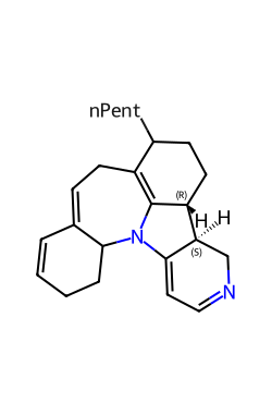 CCCCCC1CC[C@H]2C3=C1CC=C1C=CCCC1N3C1=CC=NC[C@@H]12